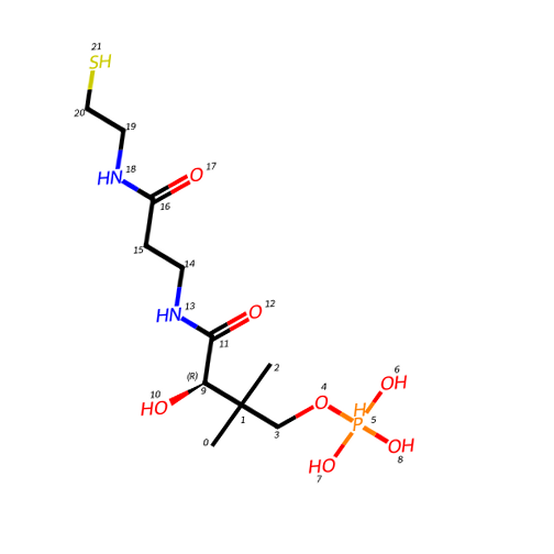 CC(C)(CO[PH](O)(O)O)[C@@H](O)C(=O)NCCC(=O)NCCS